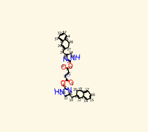 O=C(/C=C/C(=O)OC1=N[C@@H](CC2=Cc3ccccc3CC2)CN1)OC1=N[C@@H](CC2=Cc3ccccc3CC2)CN1